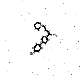 C/C(=C/CCN1CCCCC1)c1ccc(-c2ccc(Br)cc2)cc1